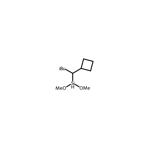 CCC(C)C(C1CCC1)[SiH](OC)OC